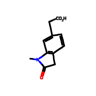 CN1C(=O)Cc2ccc(CC(=O)O)cc21